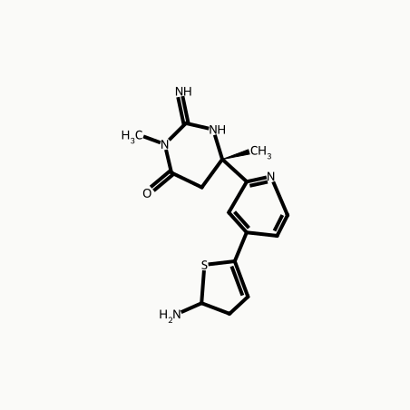 CN1C(=N)N[C@](C)(c2cc(C3=CCC(N)S3)ccn2)CC1=O